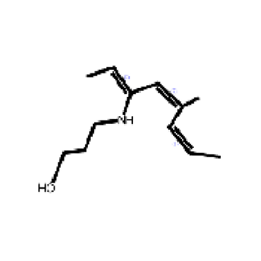 C\C=C/C(C)=C\C(=C\C)NCCCO